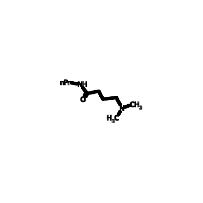 CCCNC(=O)CCCN(C)C